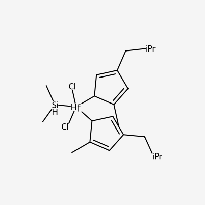 CC1=CC(CC(C)C)=C[CH]1[Hf]([Cl])([Cl])([CH]1C=C(CC(C)C)C=C1C)[SiH](C)C